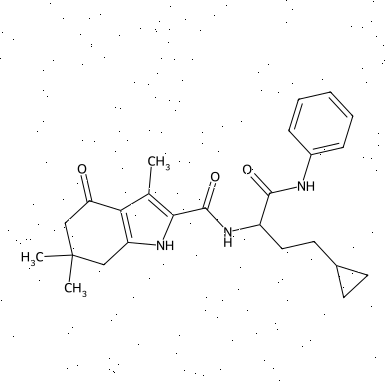 Cc1c(C(=O)NC(CCC2CC2)C(=O)Nc2ccccc2)[nH]c2c1C(=O)CC(C)(C)C2